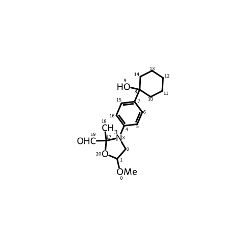 COC1CN(c2ccc(C3(O)CCCCC3)cc2)C(C)(C=O)O1